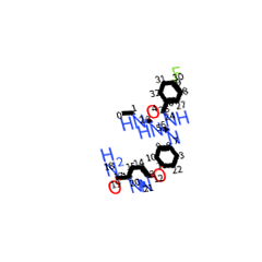 CCNC(=O)N/C(=N\C1=CCC(OC2=CCC(C(N)=O)N=N2)CC1)NCC1=CC=C(F)CC1